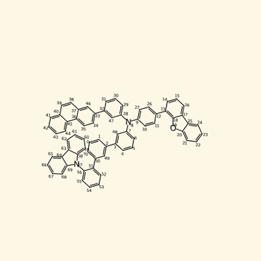 c1cc(-c2cccc(N(c3ccc(-c4cccc5c4oc4ccccc45)cc3)c3cccc(-c4ccc5c(ccc6ccccc65)c4)c3)c2)cc(-c2ccccc2-n2c3ccccc3c3ccccc32)c1